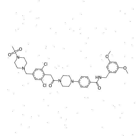 COc1cc(CNC(=O)c2ccc(N3CCN(C(=O)Cc4c(Cl)cc(CN5CCN(S(C)(=O)=O)CC5)cc4Cl)CC3)cc2)cc(OC)c1